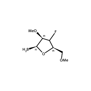 B[C@@H]1O[C@H](COC)C(F)[C@@H]1OC